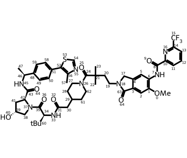 COc1cc2c(cc1NC(=O)c1cccc(C(F)(F)F)n1)CN(CCC(C)(C)C(=O)N1CCC(CC(=O)N[C@H](C(=O)N3C[C@H](O)C[C@H]3C(=O)N[C@@H](C)c3ccc(-c4scnc4C)cc3)C(C)(C)C)CC1)C2=O